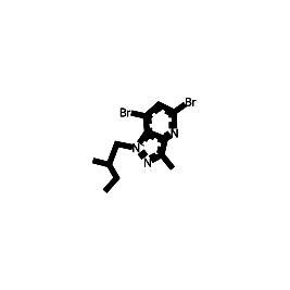 CCC(C)Cn1nc(C)c2nc(Br)cc(Br)c21